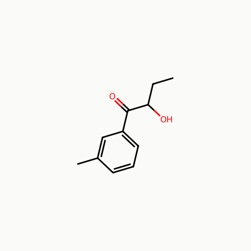 CCC(O)C(=O)c1cccc(C)c1